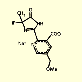 COCc1cnc(C2=NC(C)(C(C)C)C(=O)N2)c(C(=O)[O-])c1.[Na+]